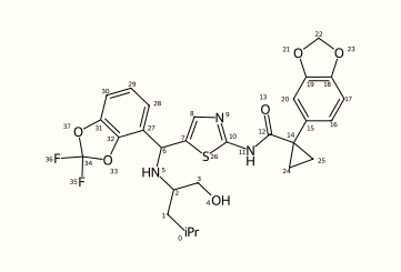 CC(C)CC(CO)NC(c1cnc(NC(=O)C2(c3ccc4c(c3)OCO4)CC2)s1)c1cccc2c1OC(F)(F)O2